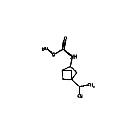 CC(C#N)C12CC(C1)C(NC(=O)OC(C)(C)C)C2